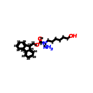 NN(CCCCCCO)C(=O)OCC1c2ccccc2-c2ccccc21